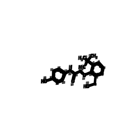 CC(C)(C)c1cccc(CO)c1OCC(=O)Nc1ccc(O)cc1